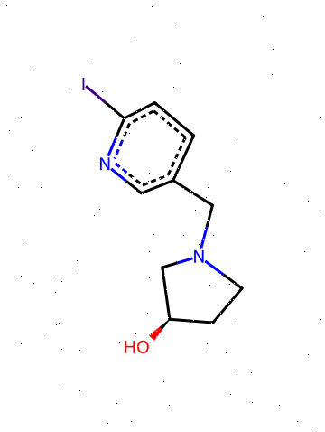 O[C@@H]1CCN(Cc2ccc(I)nc2)C1